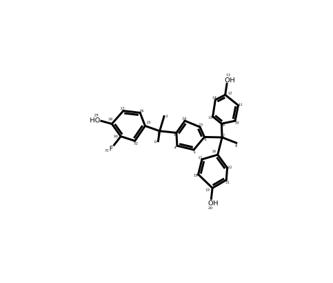 CC(C)(c1ccc(C(C)(c2ccc(O)cc2)c2ccc(O)cc2)cc1)c1ccc(O)c(F)c1